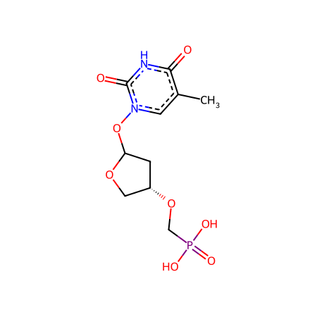 Cc1cn(OC2C[C@H](OCP(=O)(O)O)CO2)c(=O)[nH]c1=O